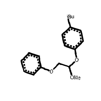 CCC(C)c1ccc(OC(COc2ccccc2)OC)cc1